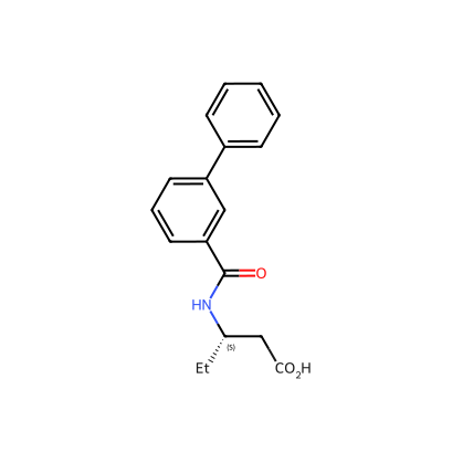 CC[C@@H](CC(=O)O)NC(=O)c1cccc(-c2ccccc2)c1